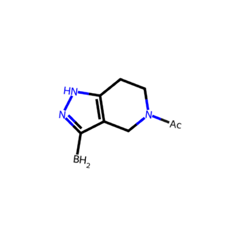 Bc1n[nH]c2c1CN(C(C)=O)CC2